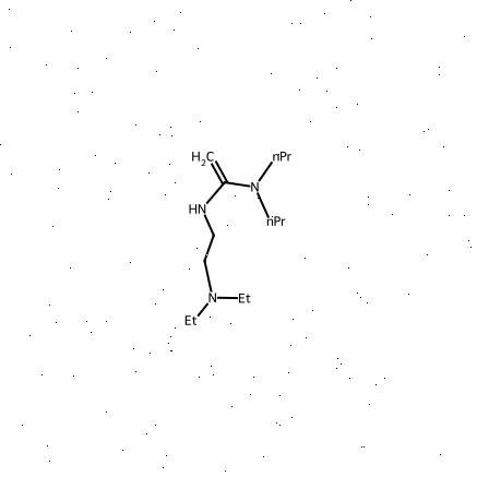 C=C(NCCN(CC)CC)N(CCC)CCC